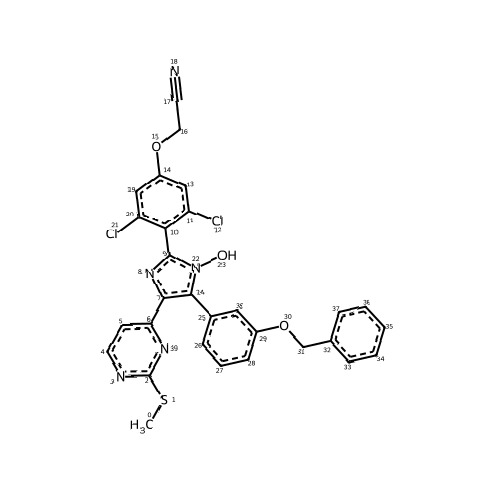 CSc1nccc(-c2nc(-c3c(Cl)cc(OCC#N)cc3Cl)n(O)c2-c2cccc(OCc3ccccc3)c2)n1